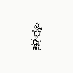 CCS(=O)(=O)N1CCN(c2ccc(N)nc2)CC1